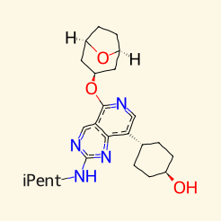 CCCC(C)Nc1ncc2c(O[C@H]3C[C@H]4CC[C@@H](C3)O4)ncc([C@H]3CC[C@H](O)CC3)c2n1